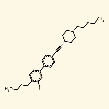 CCCCC[C@H]1CC[C@H](C#Cc2ccc(-c3ccc(CCCC)c(F)c3)cc2)CC1